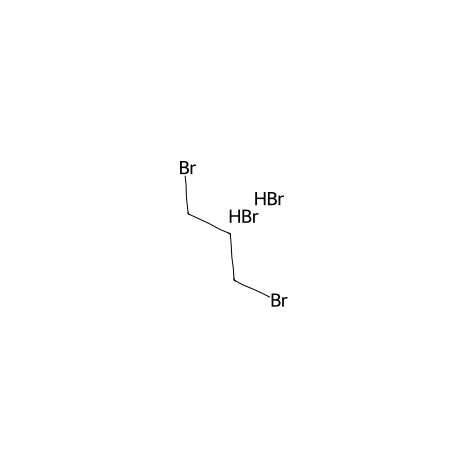 Br.Br.BrCCCBr